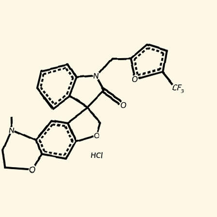 CN1CCOc2cc3c(cc21)C1(CO3)C(=O)N(Cc2ccc(C(F)(F)F)o2)c2ccccc21.Cl